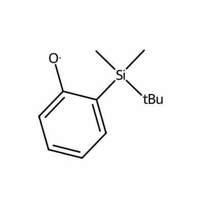 CC(C)(C)[Si](C)(C)c1ccccc1[O]